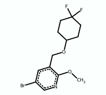 COc1ncc(Br)cc1COC1CCC(F)(F)CC1